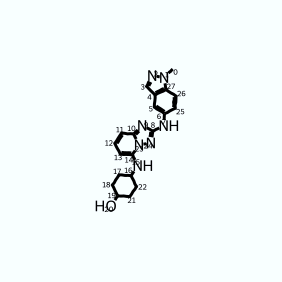 Cn1ncc2cc(Nc3nc4cccc(NC5CCC(O)CC5)n4n3)ccc21